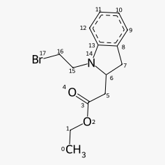 CCOC(=O)CC1Cc2ccccc2N1CCBr